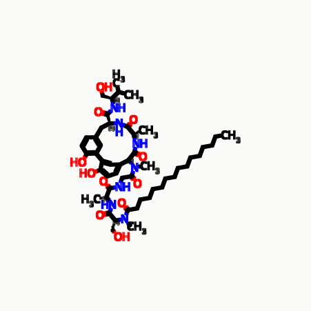 CCCCCCCCCCCCCCCC(=O)N(C)[C@H](CO)C(=O)N[C@H](C)C(=O)NCC(=O)N(C)[C@@H]1C(=O)N[C@@H](C)C(=O)N[C@H](C(=O)N[C@@H](CO)C(C)C)Cc2ccc(O)c(c2)-c2cc1ccc2O